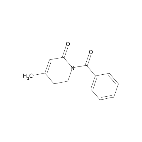 CC1=CC(=O)N(C(=O)c2ccccc2)CC1